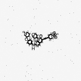 CN1CCCC(Oc2ccc(Nc3ncc4cc(C#CC5CCN(S(C)(=O)=O)CC5)c(=O)n(C5CCOCC5)c4n3)cc2)C1